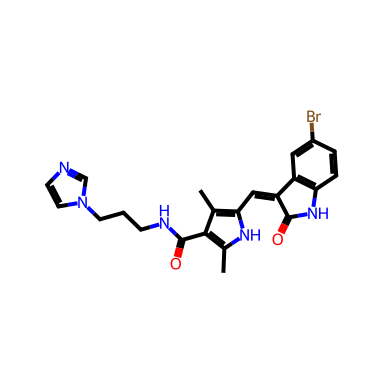 Cc1[nH]c(C=C2C(=O)Nc3ccc(Br)cc32)c(C)c1C(=O)NCCCn1ccnc1